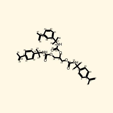 C=C(C)c1ccc(C(C)(C)NC(=O)OCC(COC(=O)NC(C)(C)c2ccc(C(=C)C)cc2)OC(=O)NC(C)(C)c2cccc(C(=C)C)c2)cc1